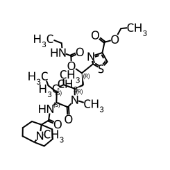 CCNC(=O)O[C@H](C[C@H](C(C)C)N(C)C(=O)[C@@H](NC(=O)C12CCCC(CCC1)N2C)[C@@H](C)CC)c1nc(C(=O)OCC)cs1